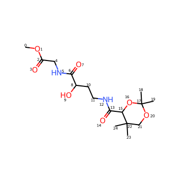 COC(=O)CNC(=O)C(O)CCNC(=O)C1OC(C)(C)OCC1(C)C